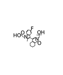 Cc1c(-c2cn(CC(C)(C)O)c(=O)c3c2CCCC3)c2cc(F)ccc2n1CC(=O)O